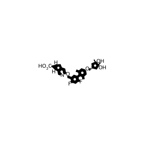 Cc1cc(OC[C@@H]2C[C@](C)(O)[C@](C)(O)C2)cc(C)c1-c1cc(COc2cc3c(cn2)[C@H]2[C@@H](C3)[C@@H]2C(=O)O)c(F)cc1F